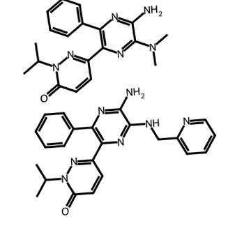 CC(C)n1nc(-c2nc(N(C)C)c(N)nc2-c2ccccc2)ccc1=O.CC(C)n1nc(-c2nc(NCc3ccccn3)c(N)nc2-c2ccccc2)ccc1=O